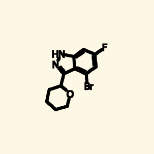 Fc1cc(Br)c2c(C3CCCCO3)n[nH]c2c1